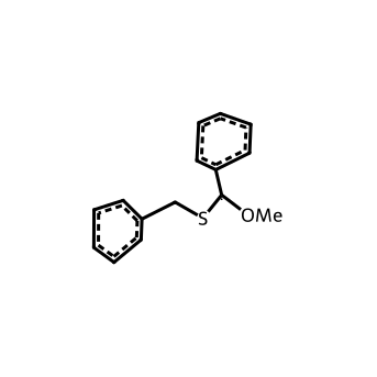 CO[C](SCc1ccccc1)c1ccccc1